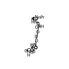 CCCc1cc(N[C@@H]2CC[C@@H](NC(=O)CCOCCOCCOCCNc3cccc4c3C(=O)N(C3CCC(=O)NC3=O)C4=O)C2)n2nccc2n1